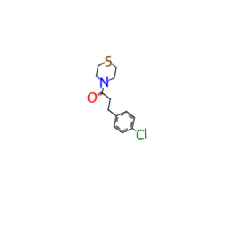 O=C(CCc1ccc(Cl)cc1)N1CCSCC1